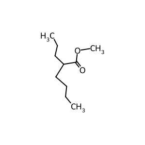 CCCCC(CCC)C(=O)OC